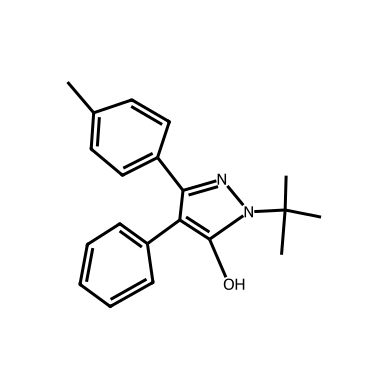 Cc1ccc(-c2nn(C(C)(C)C)c(O)c2-c2ccccc2)cc1